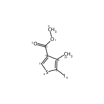 COC(=O)c1csc(I)c1C